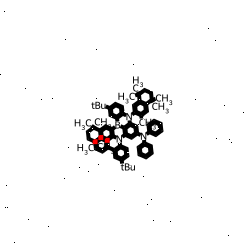 Cc1cc2c(cc1N1c3ccc(C(C)(C)C)cc3B3c4cc5c(cc4N(c4ccc(C(C)(C)C)cc4-c4ccccc4)c4cc(N(c6ccccc6)c6ccccc6)cc1c43)C(C)(C)CCC5(C)C)C(C)(C)CCC2(C)C